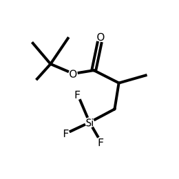 CC(C[Si](F)(F)F)C(=O)OC(C)(C)C